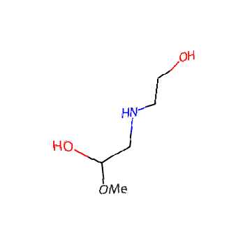 COC(O)CNCCO